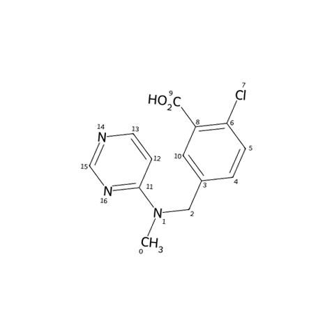 CN(Cc1ccc(Cl)c(C(=O)O)c1)c1ccncn1